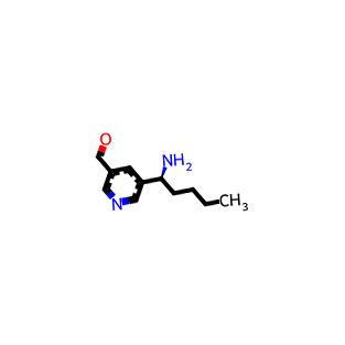 CCCC[C@H](N)c1cncc(C=O)c1